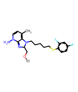 CCOCC1N=C2C(=C(C)C=CN2N)N1CCCCCSc1ccc(F)cc1F